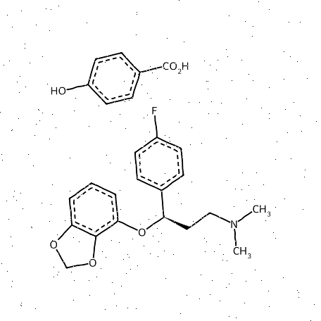 CN(C)CC[C@@H](Oc1cccc2c1OCO2)c1ccc(F)cc1.O=C(O)c1ccc(O)cc1